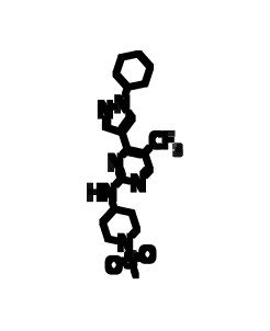 CS(=O)(=O)N1CCC(Nc2ncc(C(F)(F)F)c(-c3cnn(C4CCCCC4)c3)n2)CC1